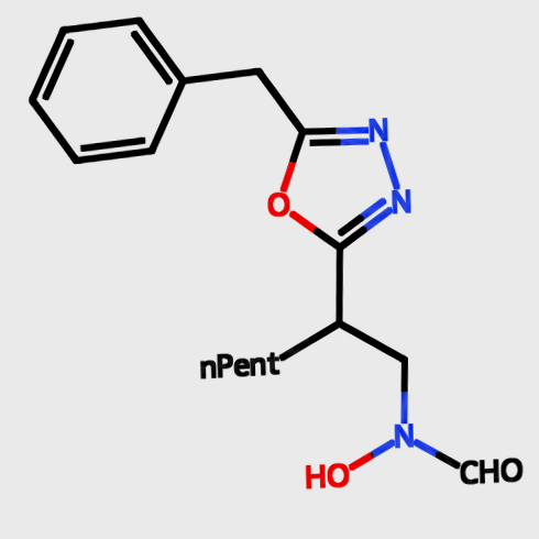 CCCCCC(CN(O)C=O)c1nnc(Cc2ccccc2)o1